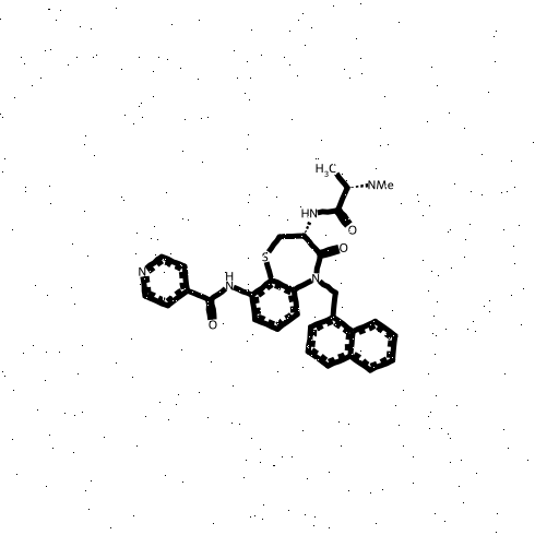 CN[C@@H](C)C(=O)N[C@H]1CSc2c(NC(=O)c3ccncc3)cccc2N(Cc2cccc3ccccc23)C1=O